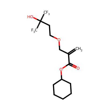 C=C(COCCC(O)(C(F)(F)F)C(F)(F)F)C(=O)OC1CCCCC1